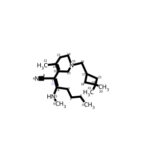 CCCC/C(NC)=C(/C#N)C1=C(C)CCN(CC2CC(C)(C)C2)C1